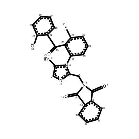 CC(C)c1cnc(CN2C(=O)c3ccccc3C2=O)n1-c1cccc(F)c1C(=O)c1ccccc1Cl